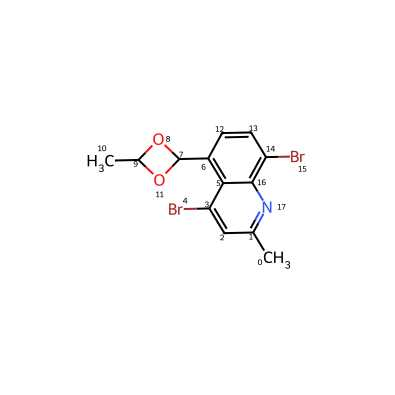 Cc1cc(Br)c2c(C3OC(C)O3)ccc(Br)c2n1